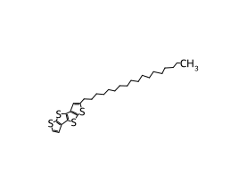 CCCCCCCCCCCCCCCCCCc1cc2c(s1)sc1c3ccsc3sc21